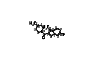 CN1CCN(C(=O)c2cc3cc(F)ccc3n2C)CC1